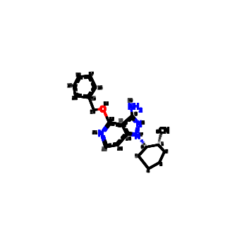 N#C[C@@H]1CCCC[C@@H]1n1nc(N)c2c(OCc3ccccc3)nccc21